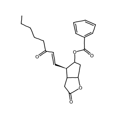 CCCCCC(=O)/C=C/[C@H]1C(OC(=O)c2ccccc2)CC2OC(=O)CC21